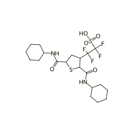 O=C(NC1CCCCC1)C1CC(C(F)(F)C(F)(F)S(=O)(=O)O)C(C(=O)NC2CCCCC2)S1